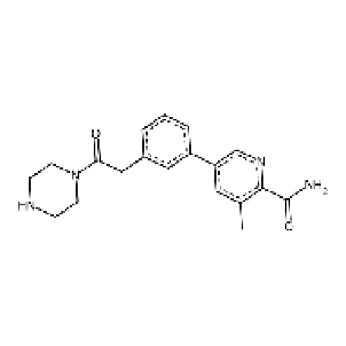 Cc1cc(-c2cccc(CC(=O)N3CCNCC3)c2)cnc1C(N)=O